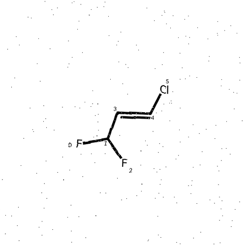 FC(F)C=CCl